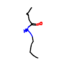 CCCNC(=O)CC